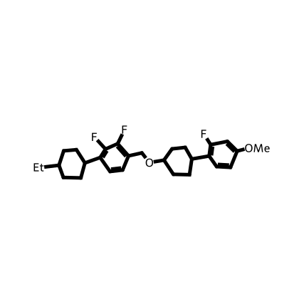 CCC1CCC(c2ccc(COC3CCC(c4ccc(OC)cc4F)CC3)c(F)c2F)CC1